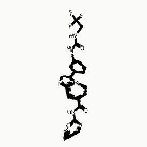 O=C(NCC(F)(F)F)Nc1cccc(-c2cnc3cc(C(=O)Nc4nccs4)ccn23)c1